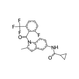 Cc1cc2cc(NC(=O)C3CC3)ccc2n1C(=O)c1c(F)cccc1C(F)(F)F